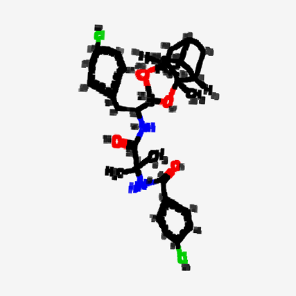 CC(C)(NC(=O)c1ccc(Cl)cc1)C(=O)N[C@@H](Cc1ccc(Cl)cc1)B1O[C@@H]2CC3C[C@@H](C3(C)C)[C@]2(C)O1